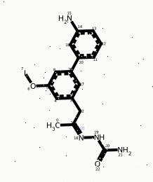 C/C(Cc1cc(OI)cc(-c2cccc(N)c2)c1)=N/NC(N)=O